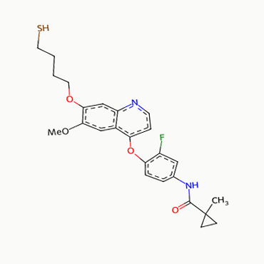 COc1cc2c(Oc3ccc(NC(=O)C4(C)CC4)cc3F)ccnc2cc1OCCCCS